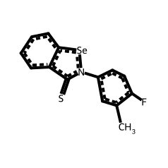 Cc1cc(-n2[se]c3ccccc3c2=S)ccc1F